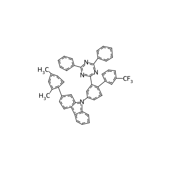 Cc1ccc(-c2ccc3c4ccccc4n(-c4ccc(-c5cccc(C(F)(F)F)c5)c(-c5nc(-c6ccccc6)nc(-c6ccccc6)n5)c4)c3c2)c(C)c1